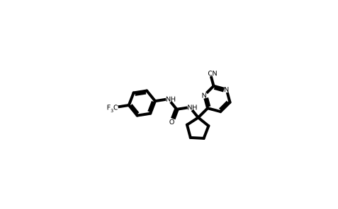 N#Cc1nccc(C2(NC(=O)Nc3ccc(C(F)(F)F)cc3)CCCC2)n1